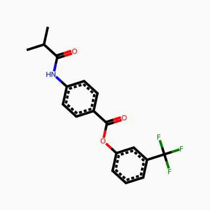 CC(C)C(=O)Nc1ccc(C(=O)Oc2cccc(C(F)(F)F)c2)cc1